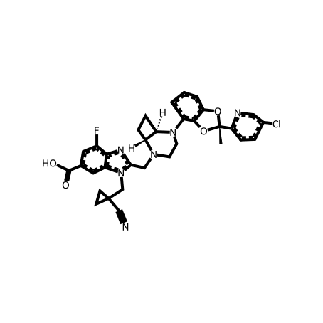 C[C@]1(c2ccc(Cl)cn2)Oc2cccc(N3CCN(Cc4nc5c(F)cc(C(=O)O)cc5n4CC4(C#N)CC4)[C@@H]4CC[C@H]43)c2O1